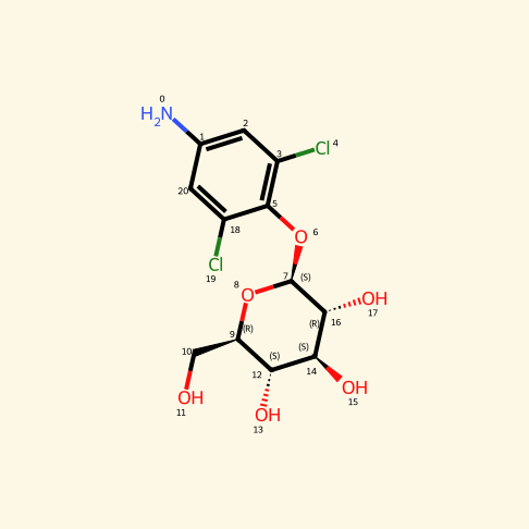 Nc1cc(Cl)c(O[C@@H]2O[C@H](CO)[C@@H](O)[C@H](O)[C@H]2O)c(Cl)c1